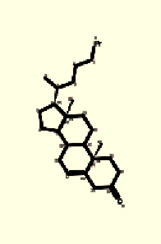 CC(C)CCCC(C)[C@H]1CCC2C3CC=C4CC(=O)CC[C@]4(C)C3CC[C@@]21C